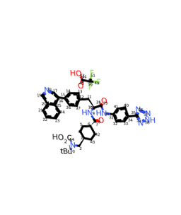 CC(C)(C)N(C[C@H]1CC[C@H](C(=O)N[C@@H](Cc2ccc(-c3cncc4ccccc34)cc2)C(=O)Nc2ccc(-c3nn[nH]n3)cc2)CC1)C(=O)O.O=C(O)C(F)(F)F